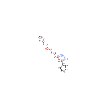 CCOCCOCCOCC(N)OC(N)c1ccccc1